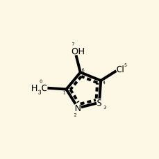 Cc1nsc(Cl)c1O